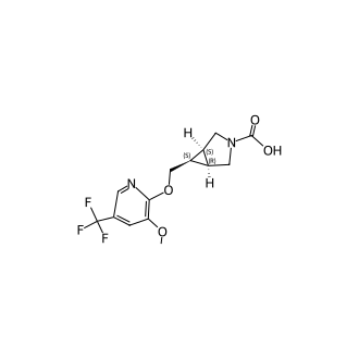 COc1cc(C(F)(F)F)cnc1OC[C@H]1[C@H]2CN(C(=O)O)C[C@@H]12